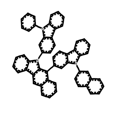 c1ccc(-n2c3ccccc3c3ccc(-n4c5ccccc5c5cc6ccccc6c(-c6ccc7c8ccccc8n(-c8ccc9ccccc9c8)c7c6)c54)cc32)cc1